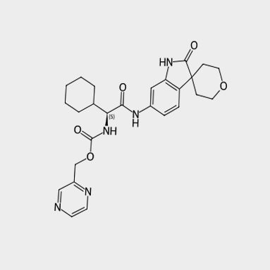 O=C(N[C@H](C(=O)Nc1ccc2c(c1)NC(=O)C21CCOCC1)C1CCCCC1)OCc1cnccn1